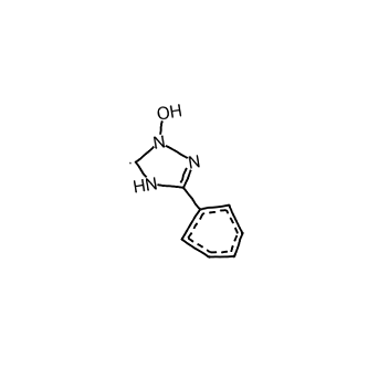 ON1[CH]NC(c2ccccc2)=N1